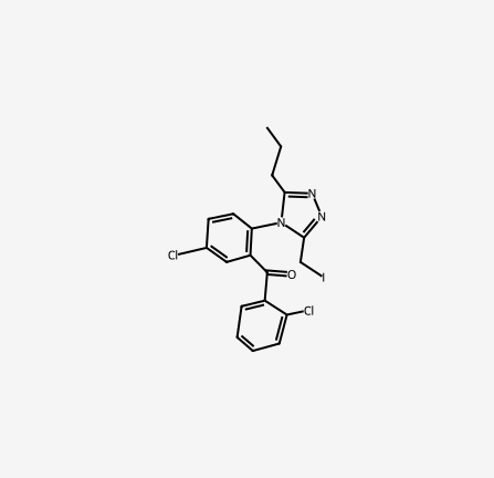 CCCc1nnc(CI)n1-c1ccc(Cl)cc1C(=O)c1ccccc1Cl